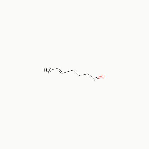 CC=CCCC[C]=O